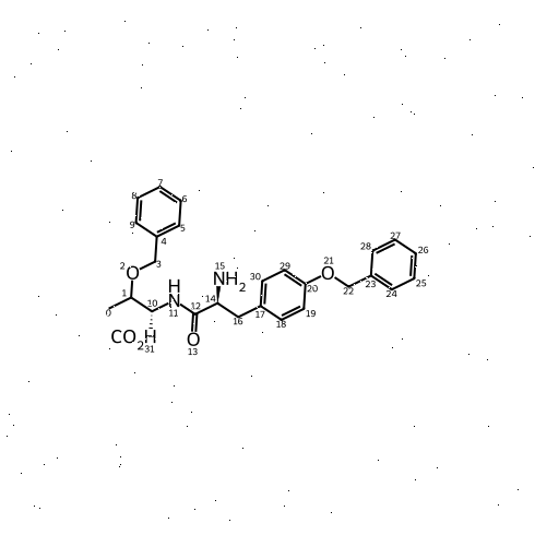 CC(OCc1ccccc1)[C@H](NC(=O)[C@@H](N)Cc1ccc(OCc2ccccc2)cc1)C(=O)O